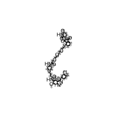 COc1cc2ncnc(Nc3ccc(F)c(Cl)c3)c2cc1NC(=O)/C=C/CN1CCC(NC(=O)COCCOCCOCCSc2cccc3c2C(=O)N(C2CCC(=O)NC2=O)C3=O)CC1